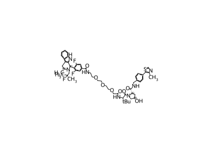 Cc1ncsc1-c1ccc(CNC(=O)[C@@H]2C[C@@H](O)CN2C(=O)C(NC(=O)COCCOCCOCCNC(=O)c2cc(F)c([C@@H]3c4[nH]c5ccccc5c4C[C@@H](C)N3CC(C)(C)F)c(F)c2)C(C)(C)C)cc1